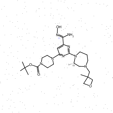 C[C@H]1CN(CC2(C)COC2)CCCN1c1nc(/C(N)=N/O)cc(N2CCN(C(=O)OC(C)(C)C)CC2)n1